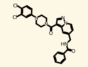 O=C(NCc1ccn2ncc(C(=O)N3CCN(c4ccc(Cl)c(Cl)c4)CC3)c2c1)c1ccccc1